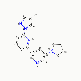 Cc1cnn(-c2cccc(-c3[c]ncc(N4CCCC4)c3)n2)c1